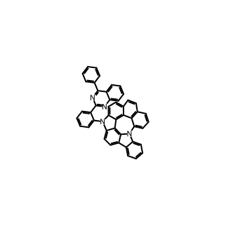 c1ccc(-c2nc(-c3ccccc3-n3c4ccc5ccc6cccc7c6c5c4c4c3ccc3c5ccccc5n7c34)nc3ccccc23)cc1